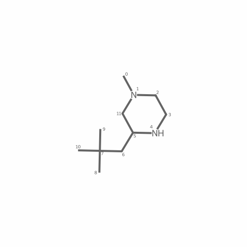 CN1CCNC(CC(C)(C)C)C1